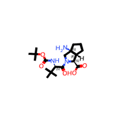 CC(C)(C)OC(=O)N[C@H](C(=O)N1C[C@]2(N)CCC[C@@H]2[C@H]1C(=O)O)C(C)(C)C